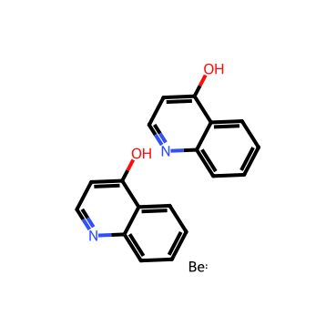 Oc1ccnc2ccccc12.Oc1ccnc2ccccc12.[Be]